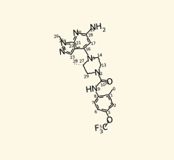 Cc1cc(OC(F)(F)F)ccc1NC(=O)N1CCN(c2cc(N)nc3c2cnn3C)[C@@H](C)C1